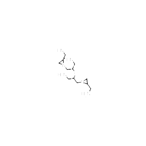 NCC(CN1CC1CN)OC(CN)CN1CC1CN